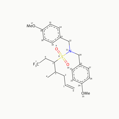 C=CCC(C)C(CC(F)(F)F)S(=O)(=O)N(Cc1ccc(OC)cc1)Cc1ccc(OC)cc1